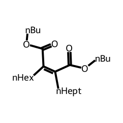 CCCCCCC/C(C(=O)OCCCC)=C(\CCCCCC)C(=O)OCCCC